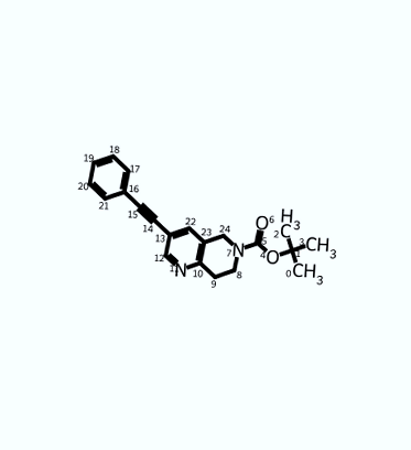 CC(C)(C)OC(=O)N1CCc2ncc(C#Cc3ccccc3)cc2C1